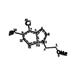 COCCn1ccc2c(Cl)c(Br)ccc21